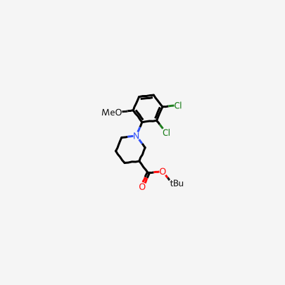 COc1ccc(Cl)c(Cl)c1N1CCCC(C(=O)OC(C)(C)C)C1